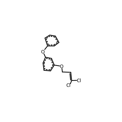 ClC(Cl)=CCOc1cccc(Oc2ccccc2)c1